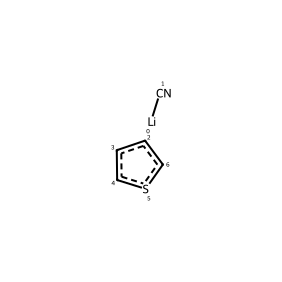 [Li][C]#N.c1ccsc1